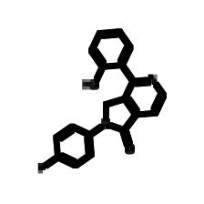 O=C1c2ccnc(-c3ccccc3O)c2CN1c1ccc(F)cc1